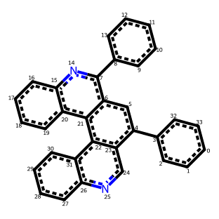 c1ccc(-c2cc3c(-c4ccccc4)nc4ccccc4c3c3c2cnc2ccccc23)cc1